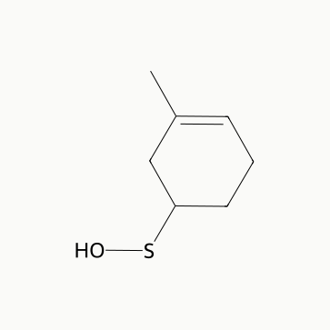 CC1=CCCC(SO)C1